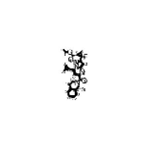 CCOC(=O)[C@@H]1C[C@]1(F)c1cc2nc(C(=O)N3CCc4ccccc4[C@H]3C)cc(C3CC3)n2n1